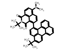 CN(C)c1ccc2c3c(c(-c4ccc5c(C(C)(C)C)ccc6c7cccc8cccc(c4c56)c87)ccc13)C(=O)N(C(C)(C)C)C2=O